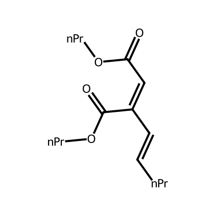 CCCC=CC(=CC(=O)OCCC)C(=O)OCCC